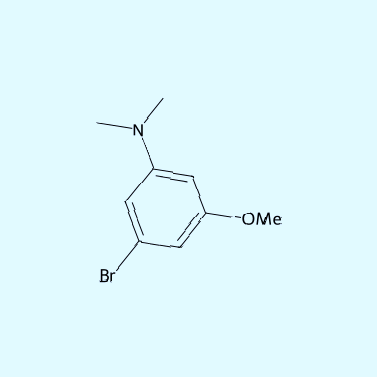 COc1cc(Br)cc(N(C)C)c1